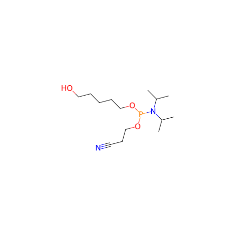 CC(C)N(C(C)C)P(OCCC#N)OCCCCCO